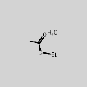 CCOC(C)=O.O